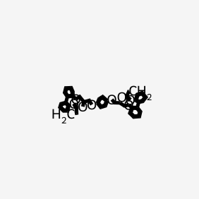 C=CC(=O)OC(COc1ccc(OCC(COc2ccccc2-c2ccccc2)OC(=O)C=C)cc1)COc1ccccc1-c1ccccc1